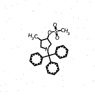 CC1CN(C(c2ccccc2)(c2ccccc2)c2ccccc2)CC1OS(C)(=O)=O